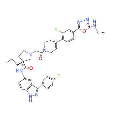 CCC[C@@]1(C(=O)Nc2ccc3[nH]nc(-c4ccc(F)cc4)c3c2)CCN(CC(=O)N2CC=C(c3ccc(-c4nnc(NCC)o4)cc3F)CC2)C1